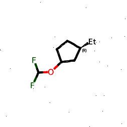 CC[C@@H]1CCC(OC(F)F)C1